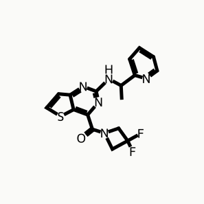 CC(Nc1nc(C(=O)N2CC(F)(F)C2)c2sccc2n1)c1ccccn1